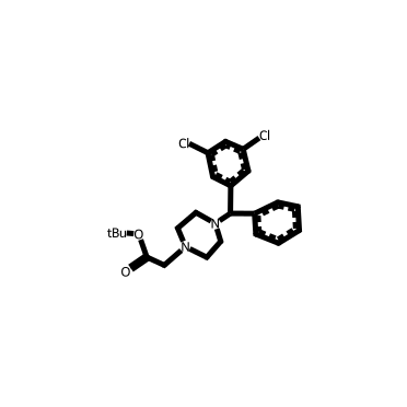 CC(C)(C)OC(=O)CN1CCN(C(c2ccccc2)c2cc(Cl)cc(Cl)c2)CC1